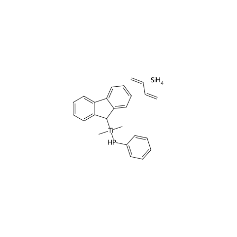 C=CC=C.[CH3][Ti]([CH3])([PH]c1ccccc1)[CH]1c2ccccc2-c2ccccc21.[SiH4]